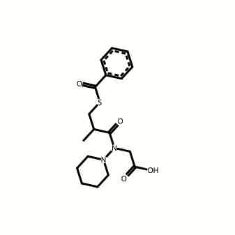 CC(CSC(=O)c1ccccc1)C(=O)N(CC(=O)O)N1CCCCC1